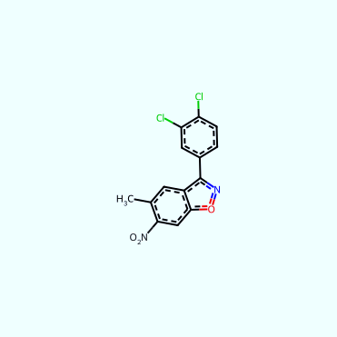 Cc1cc2c(-c3ccc(Cl)c(Cl)c3)noc2cc1[N+](=O)[O-]